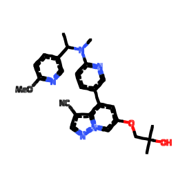 COc1ccc(C(C)N(C)c2ccc(-c3cc(OCC(C)(C)O)cn4ncc(C#N)c34)cn2)cn1